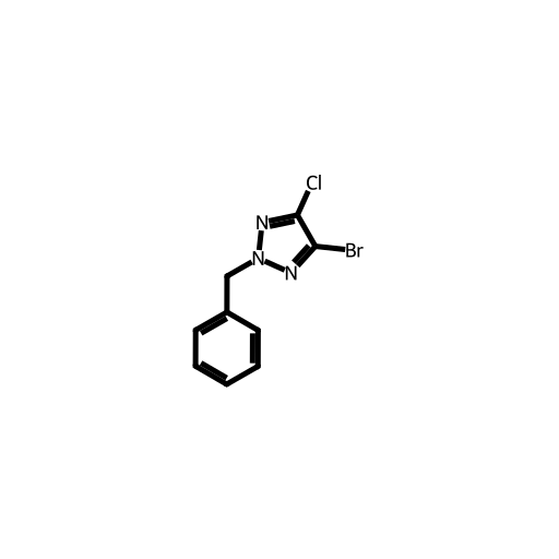 Clc1nn(Cc2ccccc2)nc1Br